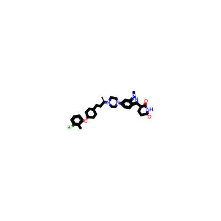 Cc1c(Br)cccc1OC1CCC(CC[C@@H](C)N2CCN(c3ccc4c(C5CCC(=O)NC5=O)nn(C)c4c3)CC2)CC1